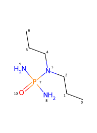 CCCN(CCC)P(N)(N)=O